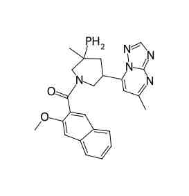 COc1cc2ccccc2cc1C(=O)N1CC(c2cc(C)nc3ncnn23)CC(C)(P)C1